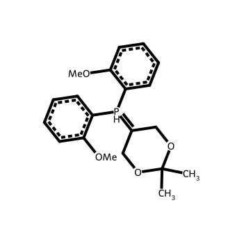 COc1ccccc1[PH](=C1COC(C)(C)OC1)c1ccccc1OC